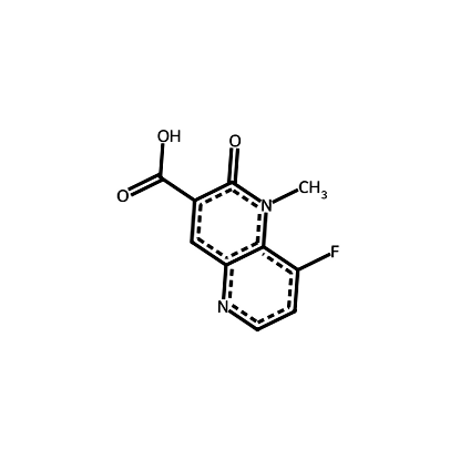 Cn1c(=O)c(C(=O)O)cc2nccc(F)c21